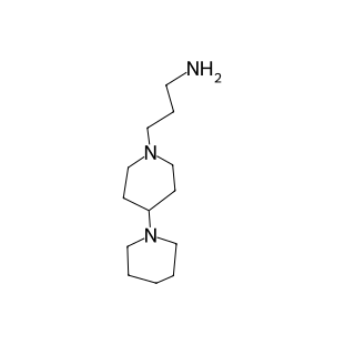 NCCCN1CCC(N2CCCCC2)CC1